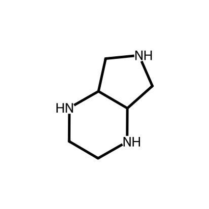 C1CNC2CNCC2N1